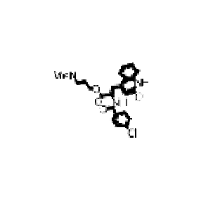 CNCCCOC(=O)C(Cc1cc(=O)[nH]c2ccccc12)NC(=O)c1ccc(Cl)cc1